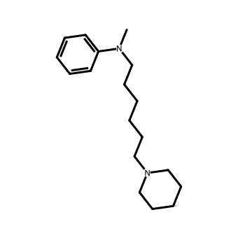 CN(CCCCCCN1CC[CH]CC1)c1ccccc1